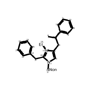 CCCCCCCCCn1cc(CC(C)c2ccccc2)[n+](CC)c1Cc1ccccc1